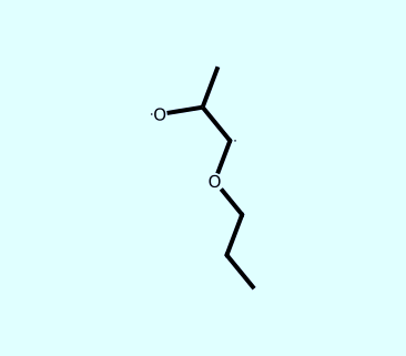 CCCO[CH]C(C)[O]